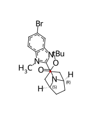 Cn1c(C2C[C@H]3CC[C@@H](C2)N3C(=O)OC(C)(C)C)nc2cc(Br)ccc21